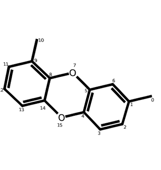 Cc1ccc2c(c1)Oc1c(C)cccc1O2